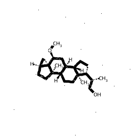 CO[C@H]1C[C@H]2[C@@H]3CC[C@H]([C@H](C)CO)[C@@]3(C)CC[C@@H]2[C@@]2(C)CC[C@H]3C[C@]312